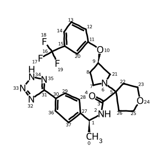 C[C@H](NC(=O)C1(N2CC[C@@H](Oc3cccc(C(F)(F)F)c3)C2)CCOCC1)c1ccc(-c2nn[nH]n2)cc1